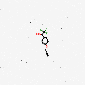 C#CCOc1ccc(C(O)C(F)(F)F)cc1